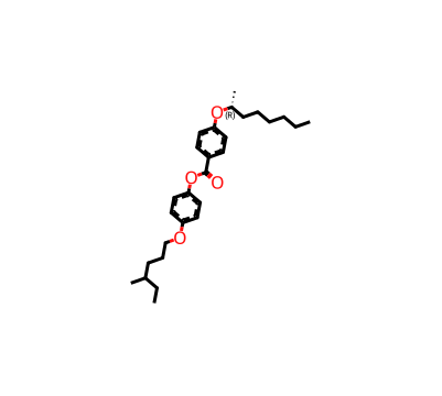 CCCCCC[C@@H](C)Oc1ccc(C(=O)Oc2ccc(OCCCC(C)CC)cc2)cc1